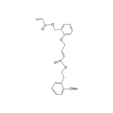 C=CC(=O)OCc1ccccc1OC/C=C/C(=O)OCCc1ccccc1OC